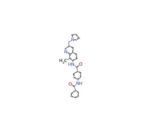 Cc1c(NC(=O)c2ccc(NC(=O)c3ccccc3)cc2)ccc2cc(Cn3cccc3)cnc12